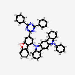 C1=c2oc3cc(-c4nc(-c5ccccc5)nc(-c5ccccc5)n4)cc(-n4c5ccccc5c5cc6c(cc54)c4ccccc4n6-c4ccccc4)c3c2=CCC1